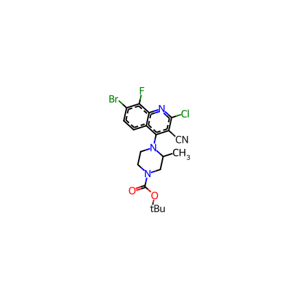 CC1CN(C(=O)OC(C)(C)C)CCN1c1c(C#N)c(Cl)nc2c(F)c(Br)ccc12